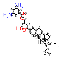 CC(C)CCCC(C)C1CCC2C3CCC4CC(C(CCCOC(=O)c5cc(N)cc(N)c5)OO)CCC4(C)C3CCC12C